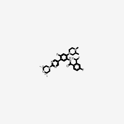 CC1CN(c2cc(F)c(-c3cnc(N4C[C@@H](C)O[C@@H](C)C4)nc3)cc2NC(=O)c2ccc(F)cc2C(F)F)CCN1C